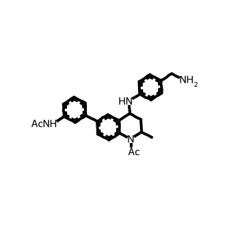 CC(=O)Nc1cccc(-c2ccc3c(c2)C(Nc2ccc(CN)cc2)CC(C)N3C(C)=O)c1